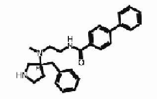 CN(CCNC(=O)c1ccc(-c2ccccc2)cc1)[C@]1(Cc2ccccc2)CCNC1